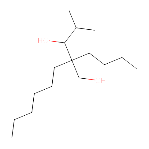 CCCCCCC(CO)(CCCC)C(O)C(C)C